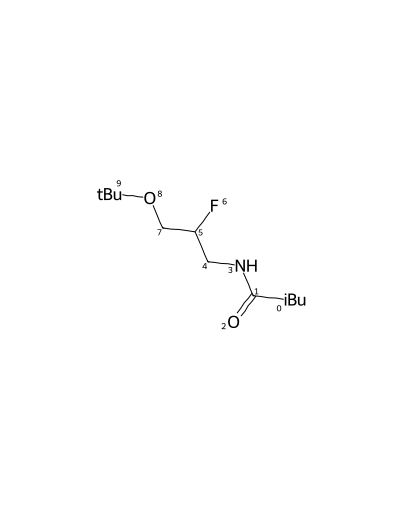 CCC(C)C(=O)NCC(F)COC(C)(C)C